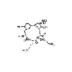 CN1C(=O)[C@H](CCCN)NC(=O)[C@@H](N)Cc2cc(ccc2O)-c2ccc(O)c(c2)C[C@H]1C(=O)NCCN.Cl.Cl.Cl